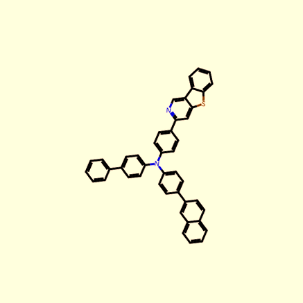 c1ccc(-c2ccc(N(c3ccc(-c4ccc5ccccc5c4)cc3)c3ccc(-c4cc5sc6ccccc6c5cn4)cc3)cc2)cc1